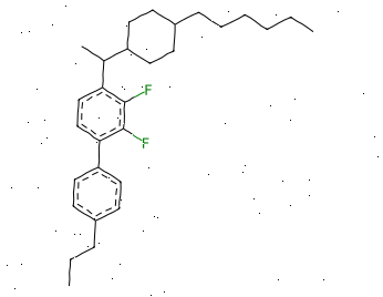 CCCCCCC1CCC(C(C)c2ccc(-c3ccc(CCC)cc3)c(F)c2F)CC1